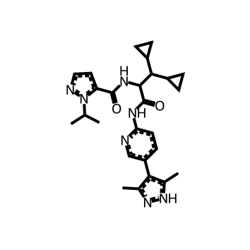 Cc1n[nH]c(C)c1-c1ccc(NC(=O)C(NC(=O)c2ccnn2C(C)C)C(C2CC2)C2CC2)nc1